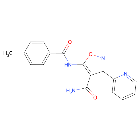 Cc1ccc(C(=O)Nc2onc(-c3ccccn3)c2C(N)=O)cc1